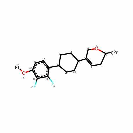 CCCC1CC=C(C2CCC(c3ccc(OCC)c(F)c3F)CC2)CO1